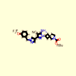 CC(C)(C)OC(=O)N1CC[C@]2(C1)C[C@H](n1nc(-c3cnn(Cc4cccc(OC(F)(F)F)c4)c3)c(C#N)c1N)C2